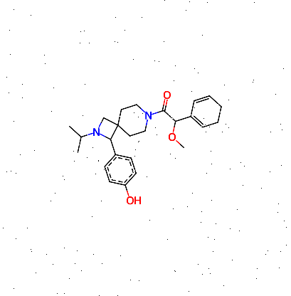 COC(C(=O)N1CCC2(CC1)CN(C(C)C)C2c1ccc(O)cc1)C1=CCCC=C1